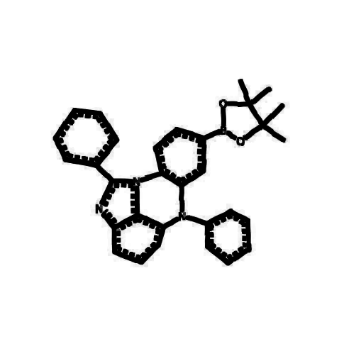 CC1(C)OB(c2ccc3c(c2)N(c2ccccc2)c2cccc4nc(-c5ccccc5)n-3c24)OC1(C)C